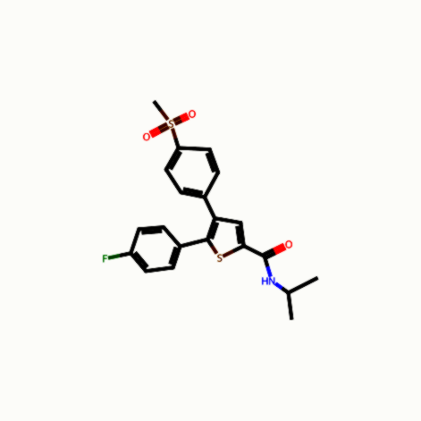 CC(C)NC(=O)c1cc(-c2ccc(S(C)(=O)=O)cc2)c(-c2ccc(F)cc2)s1